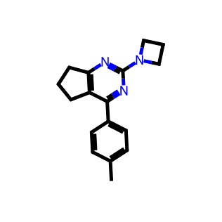 Cc1ccc(-c2nc(N3CCC3)nc3c2CCC3)cc1